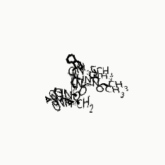 C=C[C@@H]1C[C@]1(NC(=O)[C@@H]1C[C@@H](Oc2nccc3ccccc23)CN1C(=O)[C@H](CNC(=O)C=C(C)C)NC(=O)OC(C)(C)C)C(=O)NS(=O)(=O)C1CC1